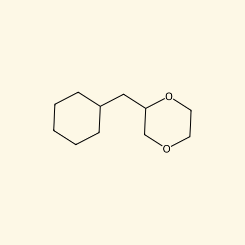 C1CCC(CC2COCCO2)CC1